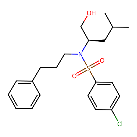 CC(C)C[C@H](CO)N(CCCc1ccccc1)S(=O)(=O)c1ccc(Cl)cc1